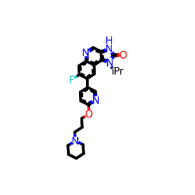 CC(C)n1c(=O)[nH]c2cnc3cc(F)c(-c4ccc(OCCCN5CCCCC5)nc4)cc3c21